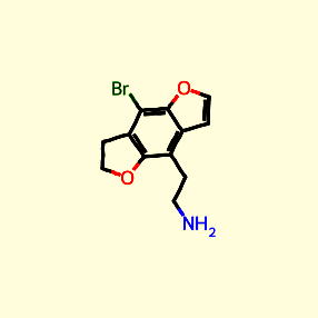 NCCc1c2c(c(Br)c3occc13)CCO2